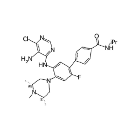 CC(C)NC(=O)c1ccc(-c2cc(Nc3ncnc(Cl)c3N)c(N3C[C@@H](C)N(C)[C@@H](C)C3)cc2F)cc1